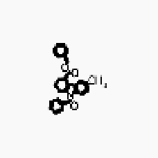 Cc1ccc2c(c1)c1c(n2C(=O)c2ccccc2)CCCC1C(=O)OCc1ccccc1